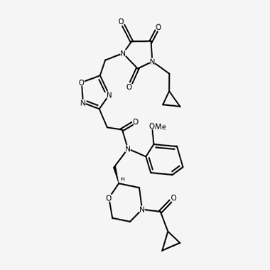 COc1ccccc1N(C[C@H]1CN(C(=O)C2CC2)CCO1)C(=O)Cc1noc(CN2C(=O)C(=O)N(CC3CC3)C2=O)n1